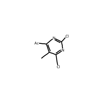 CC(=O)c1nc(Cl)nc(Cl)c1C